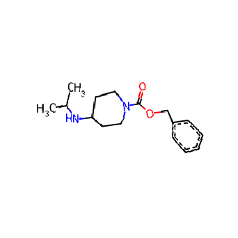 CC(C)NC1CCN(C(=O)OCc2ccccc2)CC1